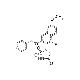 COc1ccc2c(F)c(N3CC(=O)NS3(=O)=O)c(OCc3ccccc3)cc2c1